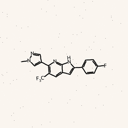 Cn1cc(-c2nc3[nH]c(-c4ccc(F)cc4)cc3cc2C(F)(F)F)cn1